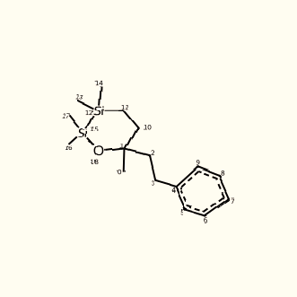 CC1(CCc2ccccc2)CC[Si](C)(C)[Si](C)(C)O1